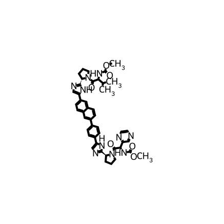 COC(=O)NC(C(=O)N1CCC[C@H]1c1ncc(-c2ccc(-c3ccc4cc(-c5cnc([C@@H]6CCCN6C(=O)C(NC(=O)OC)C(C)C)[nH]5)ccc4c3)cc2)[nH]1)c1cnccn1